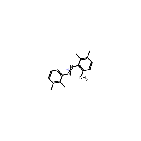 Cc1cccc(/N=N/c2c(N)ccc(C)c2C)c1C